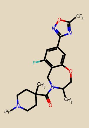 CC(C)N1CCC(C)(C(=O)N2Cc3c(F)cc(-c4noc(C(F)(F)F)n4)cc3OCC2C)CC1